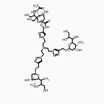 CC(=O)N[C@@H]1[C@H](O)C[C@](OCc2cn(CCN(CCn3cc(CO[C@@H]4C[C@@H](O)[C@@H](C)C(C(C)C(O)CO)O4)nn3)CCn3cc(CO[C@@H]4C[C@@H](O)[C@@H](C)C(C(O)C(O)CO)O4)nn3)nn2)(C(=O)O)OC1(CO)C(O)CO